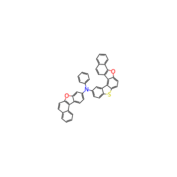 c1ccc(N(c2ccc3c(c2)oc2ccc4ccccc4c23)c2ccc3sc4ccc5oc6c7ccccc7ccc6c5c4c3c2)cc1